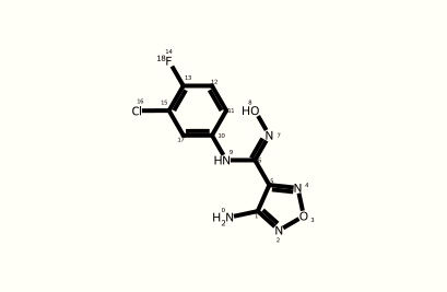 Nc1nonc1/C(=N/O)Nc1ccc([18F])c(Cl)c1